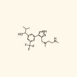 CNCCN(C)Cc1n[nH]cc1-c1cc(C(O)C(C)C)cc(C(F)(F)F)c1